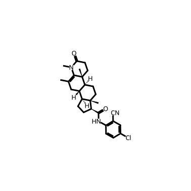 CC1=C2N(C)C(=O)CC[C@]2(C)[C@H]2CC[C@]3(C)[C@@H](C(=O)Nc4ccc(Cl)cc4C#N)CC[C@H]3[C@@H]2C1